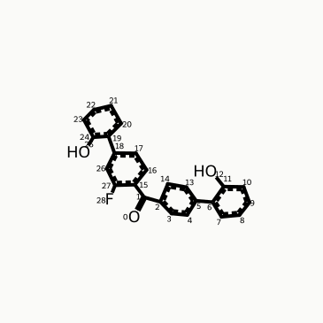 O=C(c1ccc(-c2ccccc2O)cc1)c1ccc(-c2ccccc2O)cc1F